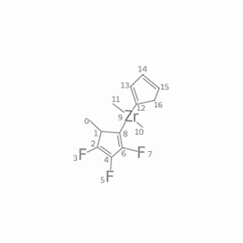 CC1C(F)=C(F)C(F)=[C]1[Zr]([CH3])([CH3])[C]1=CC=CC1